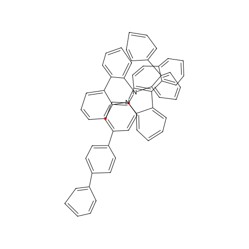 c1ccc(-c2ccc(-c3ccc(N(c4ccccc4-c4ccccc4)c4ccccc4-c4ccccc4-n4c5ccccc5c5c6ccccc6ccc54)cc3)cc2)cc1